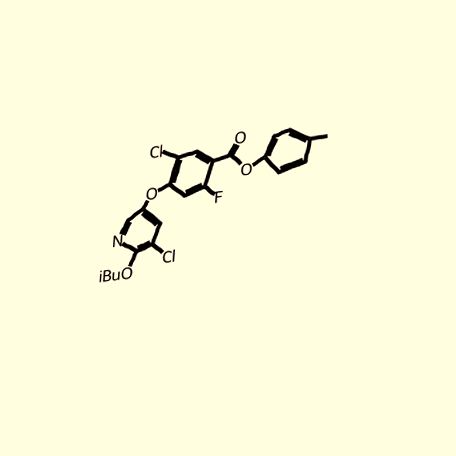 Cc1ccc(OC(=O)c2cc(Cl)c(Oc3cnc(OCC(C)C)c(Cl)c3)cc2F)cc1